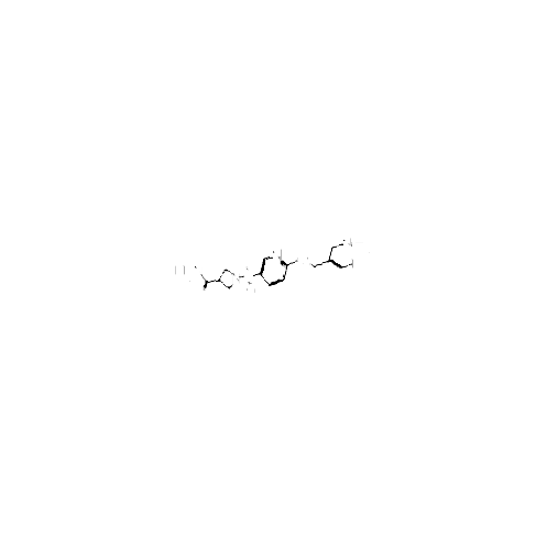 NC/C(=C\F)COc1ccc(S(=O)(=O)N2CC(C(N)=O)C2)cn1